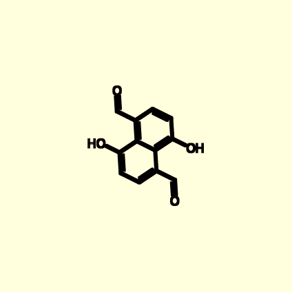 O=Cc1ccc(O)c2c(C=O)ccc(O)c12